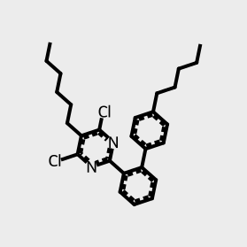 CCCCCCc1c(Cl)nc(-c2ccccc2-c2ccc(CCCCC)cc2)nc1Cl